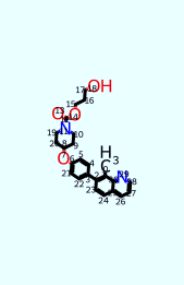 Cc1c(-c2ccc(OC3CCN(C(=O)OCCCO)CC3)cc2)ccc2cccnc12